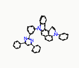 c1ccc2c3c4c5c(cccc5cc3n(-c3cccc(-c5nc(-c6ccccc6)cc(-c6ccccc6)n5)c3)c2c#1)N(c1ccccc1)C=C4